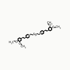 CCOc1ccc(/C=C/c2cc[n+](CCSSCC[n+]3ccc(/C=C/c4ccc(OCC)c(OCC)c4)cc3)cc2)cc1OCC